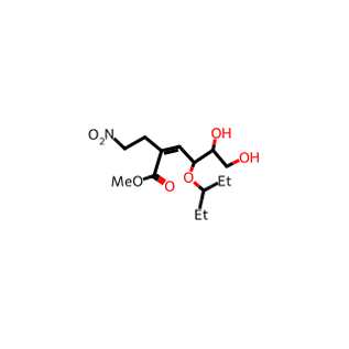 CCC(CC)OC(C=C(CC[N+](=O)[O-])C(=O)OC)C(O)CO